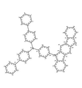 c1ccc(-c2ccc(N(c3ccc(-c4ccccc4)cc3)c3ccc(-n4c5ccccc5c5cc6oc7ccccc7c6cc54)cc3)cc2)cc1